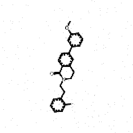 COc1cccc(-c2ccc3c(c2)CCN(CCc2ccccc2F)C3=O)c1